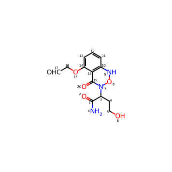 NC(=O)C(CCO)N1ONc2cccc(OCC=O)c2C1=O